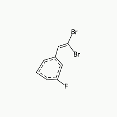 Fc1cccc(C=C(Br)Br)c1